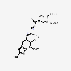 CCCCC[C@@H](CC=O)C[C@@H](C)C(=O)/C=C/C(C)=C/C(Cn1cc(CCCC)nn1)C(CC)OC=O